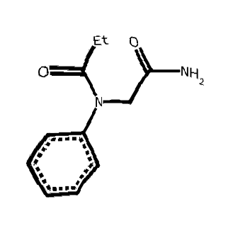 CCC(=O)N(CC(N)=O)c1ccccc1